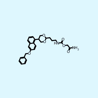 NC(=O)COC(=O)NCCCC1OCC(c2cccc3cc(OCc4ccccc4)ccc23)CO1